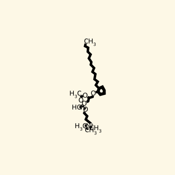 CCCCCCCCCCCCCCc1ccccc1OCC(COP(O)OCCCC[N+](C)(C)C)OC(C)=O